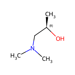 C[C@@H](O)CN(C)C